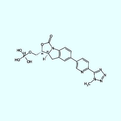 Cn1nnnc1-c1ccc(-c2ccc3c(c2)C[C@H]2[C@H](CO[PH](O)(O)O)OC(=O)N32)cn1